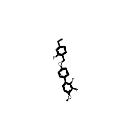 CCc1ccc(COc2ccc(-c3ccc(OC)c(F)c3F)cc2)c(F)c1